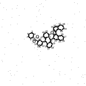 O=S(=O)(c1ccccc1)c1cncc(-c2c3ccccc3c(-c3cc4ccccc4c4c3oc3ccc5ccccc5c34)c3ccccc23)c1